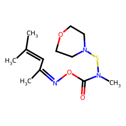 CC(C)=CC(C)=NOC(=O)N(C)SN1CCOCC1